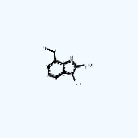 Cc1c(C=O)[nH]c2c(CF)cccc12